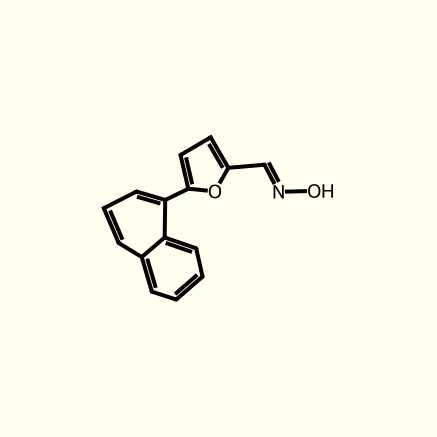 ON=Cc1ccc(-c2cccc3ccccc23)o1